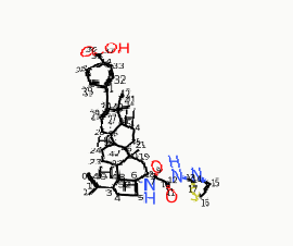 C=C(C)[C@@H]1CC[C@]2(NC(=O)C(=O)Nc3nccs3)CC[C@]3(C)[C@H](CC[C@@H]4[C@@]5(C)CC=C(c6ccc(C(=O)O)cc6)C(C)(C)[C@@H]5CC[C@]43C)[C@@H]12